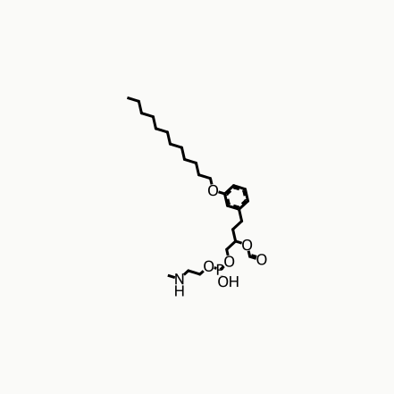 CCCCCCCCCCCCOc1cccc(CCC(COP(O)OCCNC)OC=O)c1